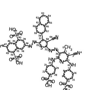 Cc1c(C#N)c(Nc2ccc(S(=O)(=O)O)cc2)nc(Nc2ccc(S(=O)(=O)O)cc2)c1/N=N/c1sc(/N=N/c2cc(S(=O)(=O)O)c3cc(Br)cc(S(=O)(=O)O)c3c2)c(-c2ccc3ccccc3c2)c1C#N